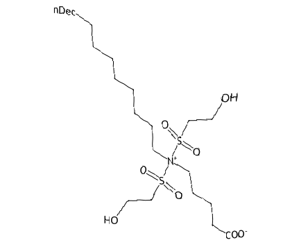 CCCCCCCCCCCCCCCCCC[N+](CCCCC(=O)[O-])(S(=O)(=O)CCO)S(=O)(=O)CCO